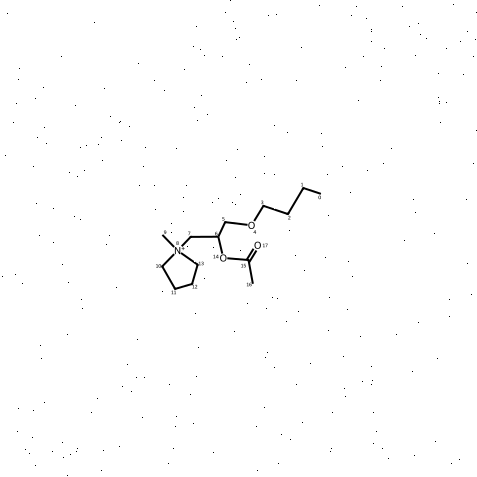 CCCCOCC(C[N+]1(C)CCCC1)OC(C)=O